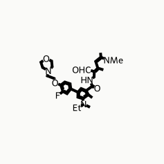 CCN(C)c1cc(-c2ccc(OCCN3CCOCC3)c(F)c2)cc(C(=O)NC/C(C=O)=C(C)/C=C(/C)NC)c1C